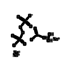 O=S(=O)([O-])OOS(=O)(=O)[O-].O=S([O-])O.OO.[Na+].[Na+].[Na+]